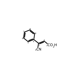 N#CC(=CC(=O)O)c1ccccc1